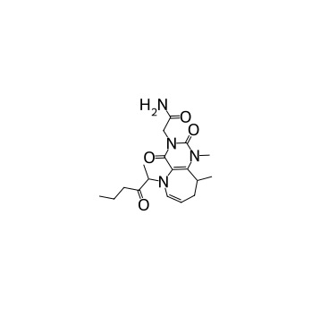 CCCC(=O)C(C)N1C=CCC(C)c2c1c(=O)n(CC(N)=O)c(=O)n2C